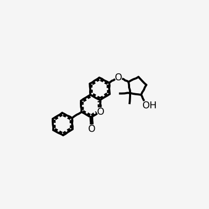 CC1(C)C(O)CCC1Oc1ccc2cc(-c3ccccc3)c(=O)oc2c1